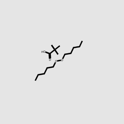 CC(C)(C)C(=O)O.CCCCCOOCCCCC